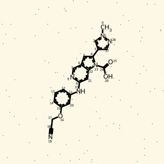 Cn1cc(-c2cc3cnc(Nc4cccc(OCC#N)c4)cc3n2C(=O)O)cn1